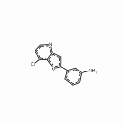 Nc1cccc(-c2cc3nccc(Cl)c3o2)c1